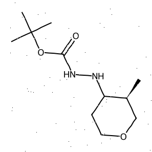 C[C@H]1COCCC1NNC(=O)OC(C)(C)C